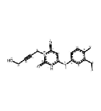 CCc1cc(Nc2cc(=O)n(CC#CCO)c(=O)[nH]2)ccc1C